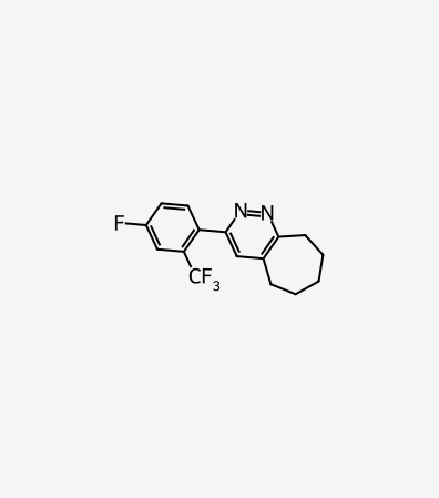 Fc1ccc(-c2cc3c(nn2)CCCCC3)c(C(F)(F)F)c1